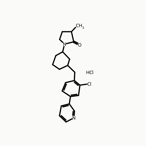 CC1CCN(C2CCCC(Cc3ccc(-c4cccnc4)cc3Cl)C2)C1=O.Cl